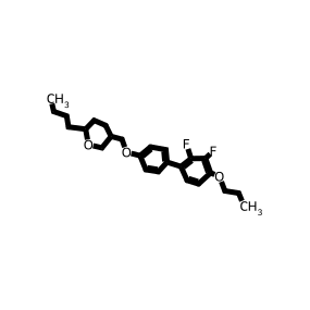 CCCCC1CCC(COc2ccc(-c3ccc(OCCC)c(F)c3F)cc2)CO1